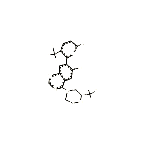 Nc1ccc(C(F)(F)F)c(-c2cc3ncnc(N4CCN[C@H](C(F)(F)F)C4)c3cc2Cl)n1